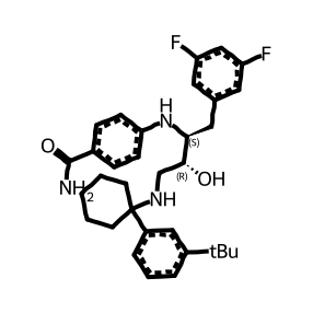 CC(C)(C)c1cccc(C2(NC[C@@H](O)[C@H](Cc3cc(F)cc(F)c3)Nc3ccc(C(N)=O)cc3)CCCCC2)c1